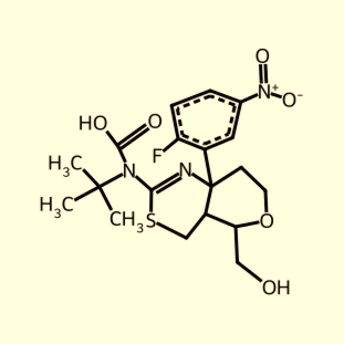 CC(C)(C)N(C(=O)O)C1=NC2(c3cc([N+](=O)[O-])ccc3F)CCOC(CO)C2CS1